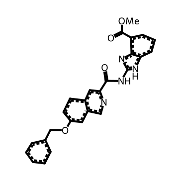 COC(=O)c1cccc2[nH]c(NC(=O)c3cc4ccc(OCc5ccccc5)cc4cn3)nc12